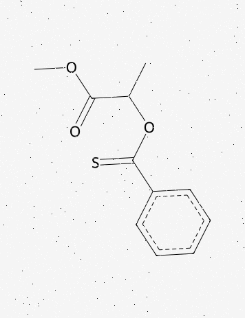 COC(=O)C(C)OC(=S)c1ccccc1